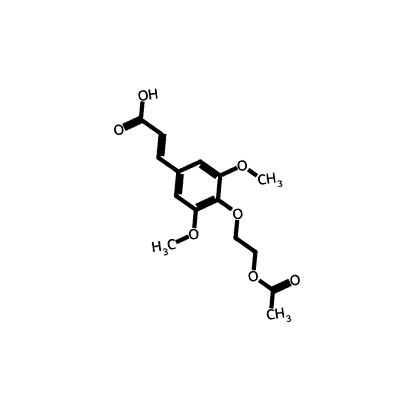 COc1cc(C=CC(=O)O)cc(OC)c1OCCOC(C)=O